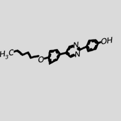 CCCCCCOc1ccc(-c2cnc(-c3ccc(O)cc3)nc2)cc1